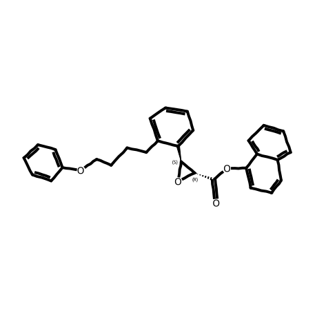 O=C(Oc1cccc2ccccc12)[C@@H]1O[C@H]1c1ccccc1CCCCOc1ccccc1